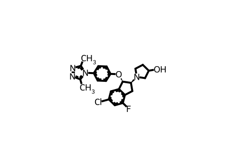 Cc1nnc(C)n1-c1ccc(O[C@H]2c3cc(Cl)cc(F)c3C[C@@H]2N2CCC(O)C2)cc1